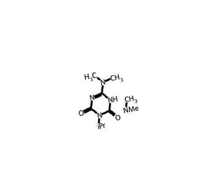 CC(C)n1c(=O)nc(N(C)C)[nH]c1=O.CNC